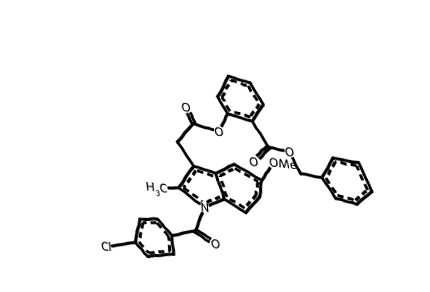 COc1ccc2c(c1)c(CC(=O)Oc1ccccc1C(=O)OCc1ccccc1)c(C)n2C(=O)c1ccc(Cl)cc1